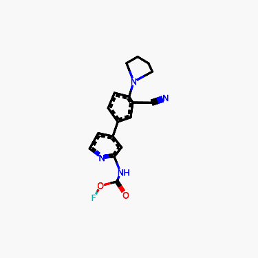 N#Cc1cc(-c2ccnc(NC(=O)OF)c2)ccc1N1CCCC1